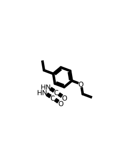 CCOc1ccc(CC)cc1.N=C=O.N=C=O